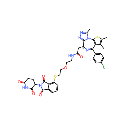 Cc1sc2c(c1C)C(c1ccc(Cl)cc1)=N[C@@H](CC(=O)NCCOCCSc1cccc3c1C(=O)N(C1CCC(=O)NC1=O)C3=O)c1nnc(C)n1-2